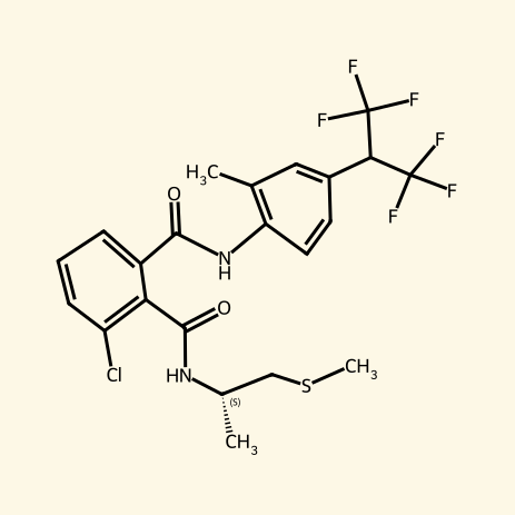 CSC[C@H](C)NC(=O)c1c(Cl)cccc1C(=O)Nc1ccc(C(C(F)(F)F)C(F)(F)F)cc1C